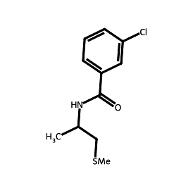 CSCC(C)NC(=O)c1cccc(Cl)c1